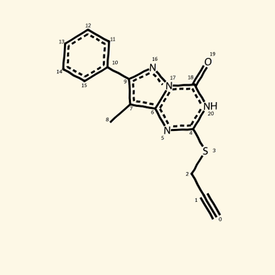 C#CCSc1nc2c(C)c(-c3ccccc3)nn2c(=O)[nH]1